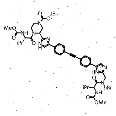 CCCN(Cc1ncc(-c2ccc(C#Cc3ccc(-c4c[nH]c([C@@H]5CN(C(=O)OC(C)(C)C)CCN5C(=O)[C@@H](NC(=O)OC)C(C)C)n4)cc3)cc2)[nH]1)C(=O)[C@@H](NC(=O)OC)C(C)C